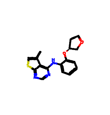 Cc1csc2ncnc(Nc3ccccc3O[C@@H]3CCOC3)c12